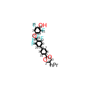 CCCC1COC(c2ccc(-c3cc(F)c(C(F)(F)Oc4cc(F)c(O)c(F)c4)c(F)c3)cc2)OC1